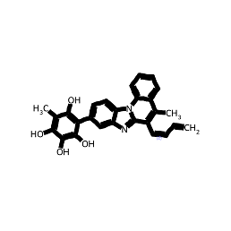 C=C/C=C\c1c(C)c2ccccc2n2c1nc1cc(-c3c(O)c(C)c(O)c(O)c3O)ccc12